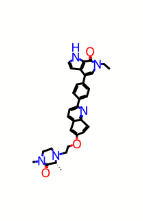 CCn1cc(-c2ccc(-c3ccc4cc(OCCN5CCN(C)C(=O)[C@H]5C)ccc4n3)cc2)c2cc[nH]c2c1=O